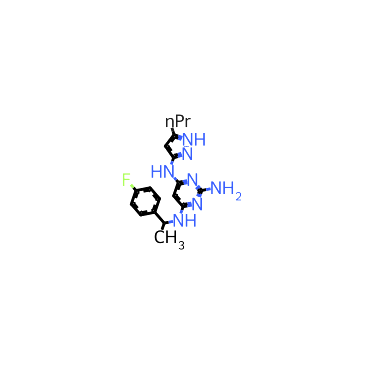 CCCc1cc(Nc2cc(NC(C)c3ccc(F)cc3)nc(N)n2)n[nH]1